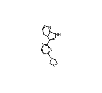 C1=CN=C2NC=C(c3nccc(N4CCSC4)n3)C2C1